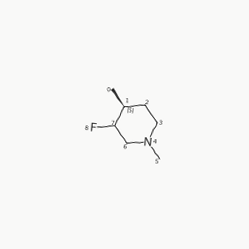 C[C@H]1CCN(C)CC1F